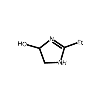 CCC1=NC(O)CN1